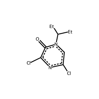 CCC(CC)n1cc(Cl)nc(Cl)c1=O